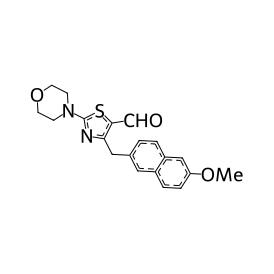 COc1ccc2cc(Cc3nc(N4CCOCC4)sc3C=O)ccc2c1